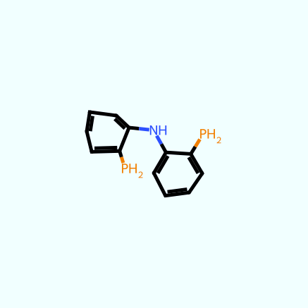 Pc1ccccc1Nc1ccccc1P